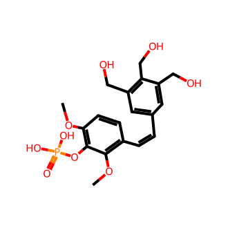 COc1ccc(/C=C\c2cc(CO)c(CO)c(CO)c2)c(OC)c1OP(=O)(O)O